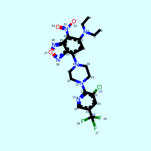 CCN(CC)c1cc(N2CCN(c3ncc(C(F)(F)F)cc3Cl)CC2)c2nonc2c1[N+](=O)[O-]